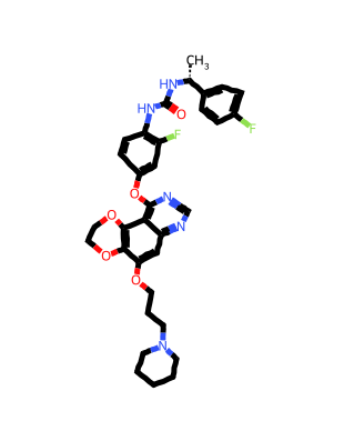 C[C@@H](NC(=O)Nc1ccc(Oc2ncnc3cc(OCCCN4CCCCC4)c4c(c23)OCCO4)cc1F)c1ccc(F)cc1